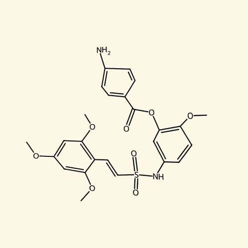 COc1cc(OC)c(/C=C/S(=O)(=O)Nc2ccc(OC)c(OC(=O)c3ccc(N)cc3)c2)c(OC)c1